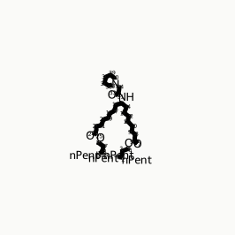 CCCCCC(CCCCC)CCOC(=O)CCCCCCCC(CCCCCCCC(=O)OCCC(CCCCC)CCCCC)NC(=O)CN1CCCCC1